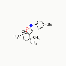 CC(C)(C)c1ccc(Nc2cc3c(o2)C(C)(C)CCC3(C)C)cc1